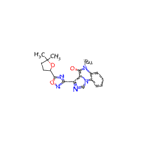 CCC(C)n1c(=O)c2c(-c3noc(C4CCC(C)(C)O4)n3)ncn2c2ccccc21